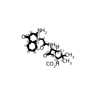 CC1(C)S[C@@H]2[C@H](NC(=O)Cn3c(N)cc(=O)c4ccccc43)C(=O)N2[C@H]1C(=O)O